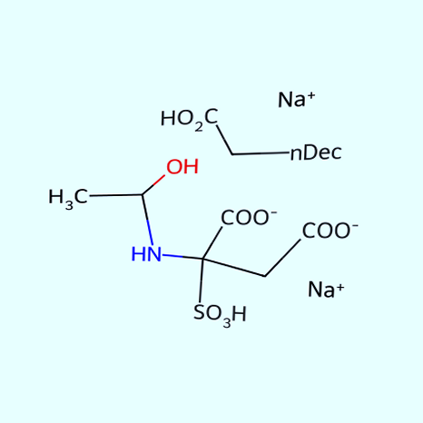 CC(O)NC(CC(=O)[O-])(C(=O)[O-])S(=O)(=O)O.CCCCCCCCCCCC(=O)O.[Na+].[Na+]